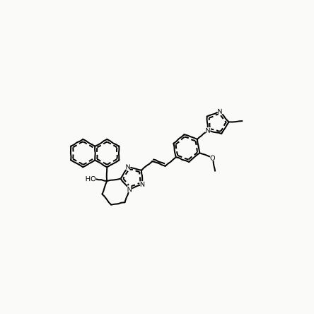 COc1cc(C=Cc2nc3n(n2)CCCC3(O)c2cccc3ccccc23)ccc1-n1cnc(C)c1